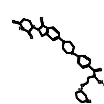 CN(CCO[C@H]1CCCNC1)C(=O)c1ccc(N2CCN(c3ccc4c(c3)CN([C@@H]3CCC(=O)NC3=O)C4=O)CC2)cc1